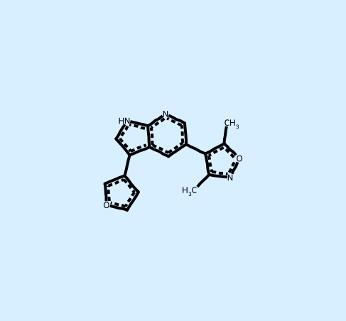 Cc1noc(C)c1-c1cnc2[nH]cc(-c3ccoc3)c2c1